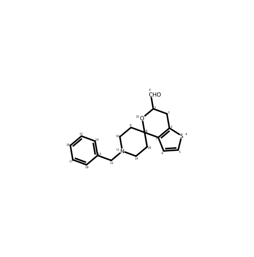 O=CC1Cc2sccc2C2(CCN(Cc3ccccc3)CC2)O1